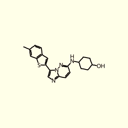 Cc1ccc2cc(-c3cnc4ccc(NC5CCC(O)CC5)nn34)sc2c1